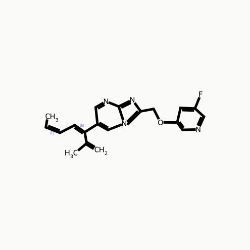 C=C(C)/C(=C\C=C/C)c1cnc2nc(COc3cncc(F)c3)cn2c1